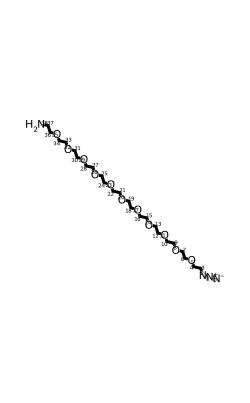 [N-]=[N+]=NCCOCCOCCOCCOCCOCCOCCOCCOCCOCCOCCOCCN